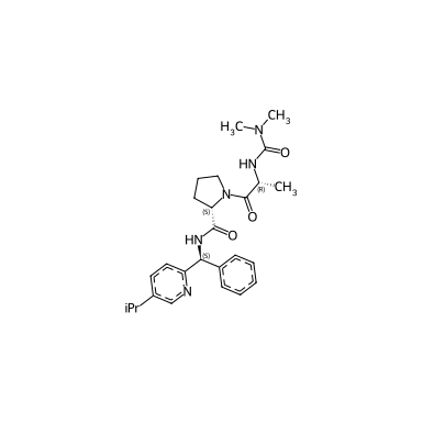 CC(C)c1ccc([C@@H](NC(=O)[C@@H]2CCCN2C(=O)[C@@H](C)NC(=O)N(C)C)c2ccccc2)nc1